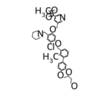 Cc1c(COc2cc(OCc3cncc(S(C)(=O)=O)c3)c(CN3CCCCC3)cc2Cl)cccc1-c1ccc2c(c1)OC(CC=O)CO2